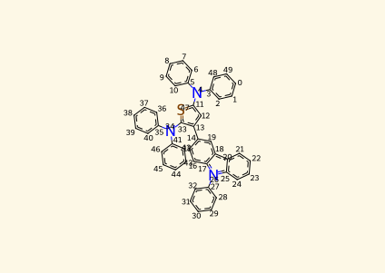 c1ccc(N(c2ccccc2)c2cc(-c3ccc4c(c3)c3ccccc3n4-c3ccccc3)c(N(c3ccccc3)c3ccccc3)s2)cc1